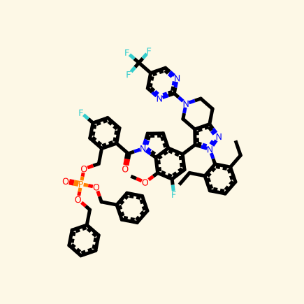 CCc1cccc(CC)c1-n1nc2c(c1-c1cc(F)c(OC)c3c1ccn3C(=O)c1ccc(F)cc1COP(=O)(OCc1ccccc1)OCc1ccccc1)CN(c1ncc(C(F)(F)F)cn1)CC2